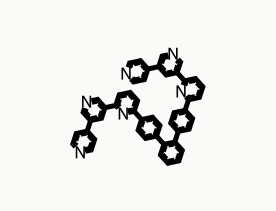 c1cc(-c2ccc(-c3ccccc3-c3ccc(-c4cccc(-c5cncc(-c6ccncc6)c5)n4)cc3)cc2)nc(-c2cncc(-c3ccncc3)c2)c1